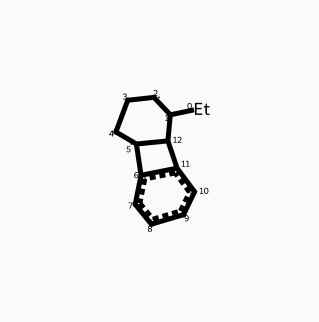 CCC1[CH]CC[C]2c3ccccc3C21